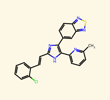 Cc1cccc(-c2[nH]c(/C=C/c3ccccc3Cl)nc2-c2ccc3nsnc3c2)n1